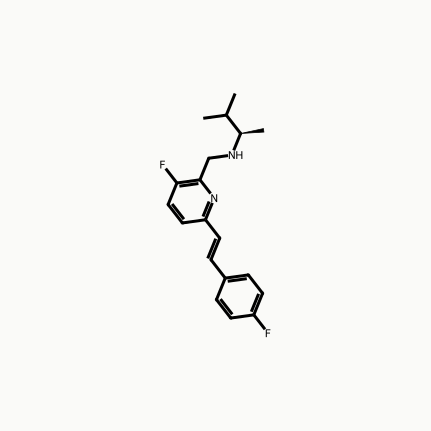 CC(C)[C@@H](C)NCc1nc(C=Cc2ccc(F)cc2)ccc1F